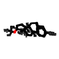 COc1ccc2c(c1)CC[C@@H]1[C@@H]2CC[C@]2(C)C(O[Si](C)(C)C(C)(C)C)CC[C@@H]12